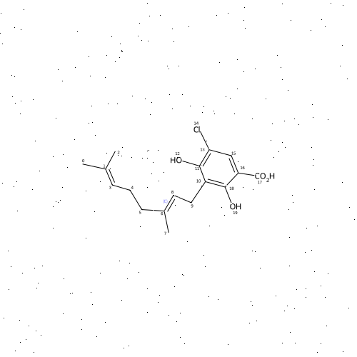 CC(C)=CCC/C(C)=C/Cc1c(O)c(Cl)cc(C(=O)O)c1O